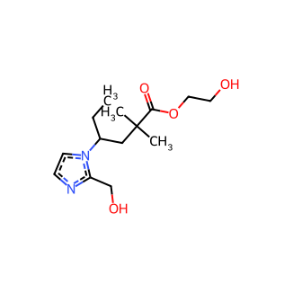 CCC(CC(C)(C)C(=O)OCCO)n1ccnc1CO